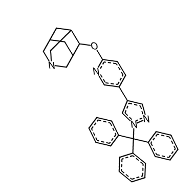 c1ccc(C(c2ccccc2)(c2ccccc2)n2cc(-c3ccc(OC4C5CC6CC4CN(C6)C5)nc3)cn2)cc1